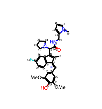 COc1cc(/C=C2/C(C)=C(C(C(=O)NCc3cccn3C)N3CCCC3)c3cc(F)ccc32)cc(OC)c1O